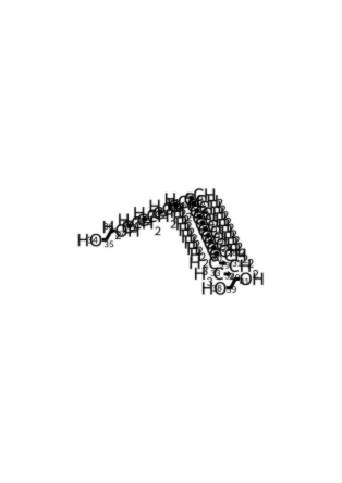 C=C.C=C.C=C.C=C.C=C.C=C.C=C.C=C.C=C.C=C.C=C.C=C.C=C.C=C.C=CC.C=CC.OCCO.OCCO